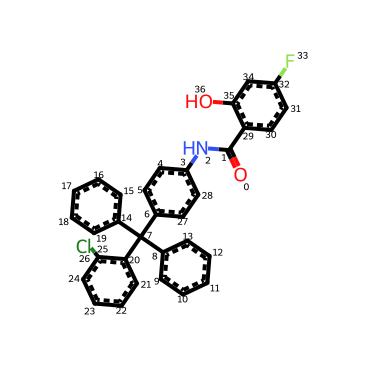 O=C(Nc1ccc(C(c2ccccc2)(c2ccccc2)c2ccccc2Cl)cc1)c1ccc(F)cc1O